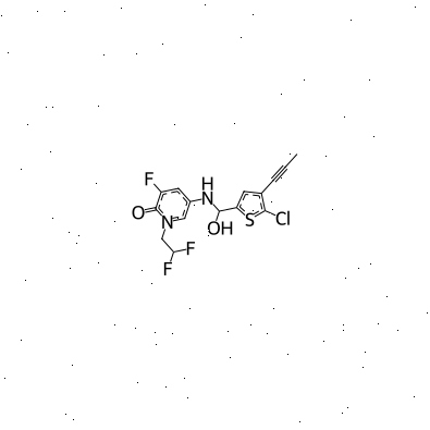 CC#Cc1cc(C(O)Nc2cc(F)c(=O)n(CC(F)F)c2)sc1Cl